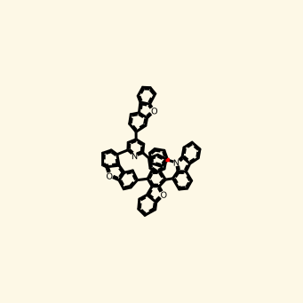 c1ccc(-c2cc(-c3ccc4c(c3)oc3ccccc34)cc(-c3cccc4oc5ccc(-c6ccc(-c7cccc8c9ccccc9n(-c9ccccc9)c78)c7oc8ccccc8c67)cc5c34)n2)cc1